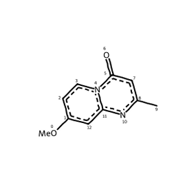 COc1ccn2c(=O)cc(C)nc2c1